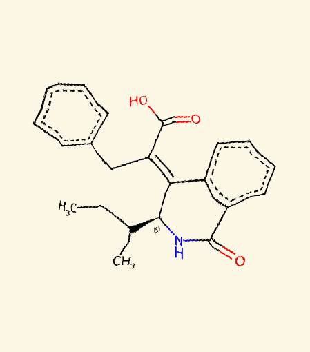 CCC(C)[C@@H]1NC(=O)c2ccccc2C1=C(Cc1ccccc1)C(=O)O